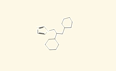 c1cn(CC(CC2CCCCC2)C2CCCCC2)cn1